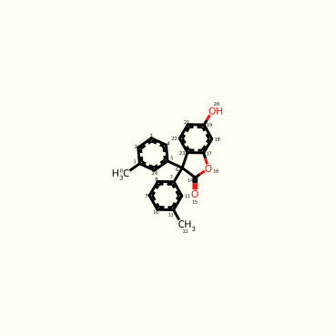 Cc1cccc(C2(c3cccc(C)c3)C(=O)Oc3cc(O)ccc32)c1